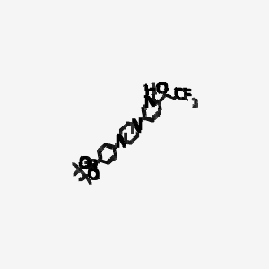 CC1(C)OB(c2ccc(N3CCN(c4ccc(C(O)CC(F)(F)F)nc4)CC3)cc2)OC1(C)C